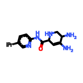 CC(C)c1ccc(NC(=O)C2C=C(N)C(N)CN2)nc1